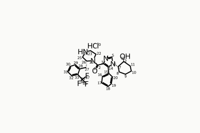 Cl.O=C(c1ncn([C@H]2CCCC[C@H]2O)c1-c1ccccc1)N1CCNC[C@H]1Cc1ccccc1C(F)(F)F